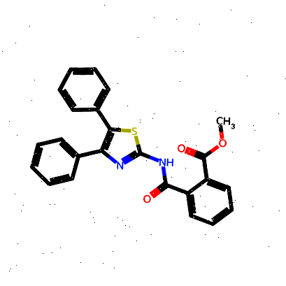 COC(=O)c1ccccc1C(=O)Nc1nc(-c2ccccc2)c(-c2ccccc2)s1